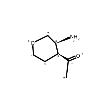 CC(=O)[C@H]1CCOC[C@H]1N